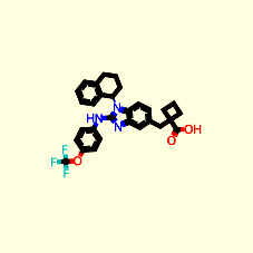 O=C(O)C1(Cc2ccc3c(c2)nc(Nc2ccc(OC(F)(F)F)cc2)n3[C@H]2CCCc3ccccc32)CCC1